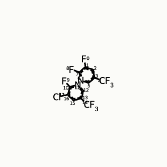 Fc1cc(C(F)(F)F)cnc1F.Fc1ncc(C(F)(F)F)cc1Cl